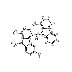 Cn1c2ccc(Br)cc2c2ncnc(Cl)c21.Cn1c2ccccc2c2ncnc(Cl)c21